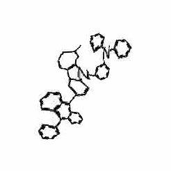 CC1CC=CC2=C(C1)N(c1cccc(N(c3ccccc3)c3ccccc3)c1)C1C=CC(c3c4ccccc4c(-c4ccccc4)c4ccccc34)=CC21